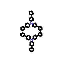 C1=C=CC(c2ccc(N(c3ccc(-c4ccccc4)cc3)c3ccc(-c4cccc(-c5cccc(-c6ccc(N(c7ccc(-c8ccccc8)cc7)c7ccc(-c8ccccc8)cc7)cc6)c5)c4)cc3)cc2)=CC=1